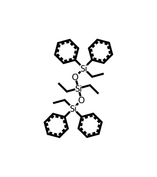 CC[Si](CC)(O[Si](CC)(c1ccccc1)c1ccccc1)O[Si](CC)(c1ccccc1)c1ccccc1